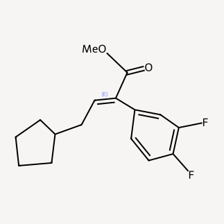 COC(=O)/C(=C/CC1CCCC1)c1ccc(F)c(F)c1